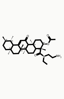 CCN(CCN)C(=O)[C@]1(C)C2CC[C@]3(C)C(C(=O)C=C4C5[C@@H](C)[C@H](C)CC[C@]5(C)CC[C@]43C)[C@@]2(C)CC[C@H]1OC(C)=O